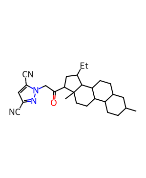 CCC1CC(C(=O)Cn2nc(C#N)cc2C#N)C2(C)CCC3C4CCC(C)CC4CCC3C12